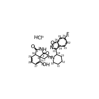 Cl.O=C1NC(=O)C2(CCN3CCCCC3c3noc4cc(F)ccc34)C(O)=CC=CC12